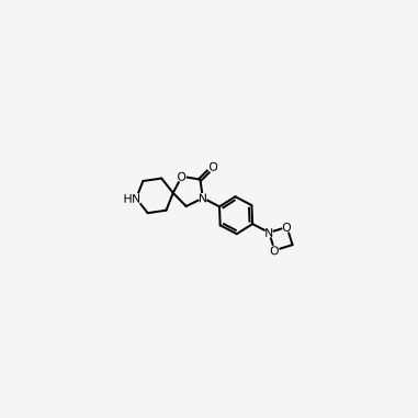 O=C1OC2(CCNCC2)CN1c1ccc(N2OCO2)cc1